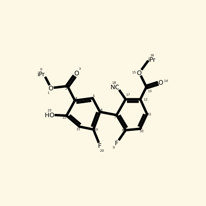 CC(C)OC(=O)c1cc(-c2c(F)[c]cc(C(=O)OC(C)C)c2C#N)c(F)cc1O